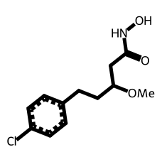 COC(CCc1ccc(Cl)cc1)CC(=O)NO